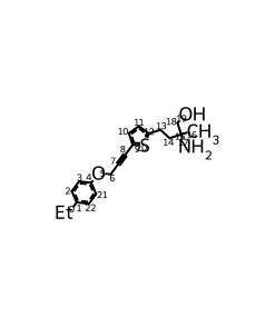 CCc1ccc(OCC#Cc2ccc(CCC(C)(N)CO)s2)cc1